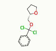 ClC(Cl)(OC[C@@H]1CCCO1)c1ccccc1